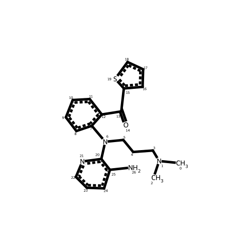 CN(C)CCCN(c1ccccc1C(=O)c1cccs1)c1ncccc1N